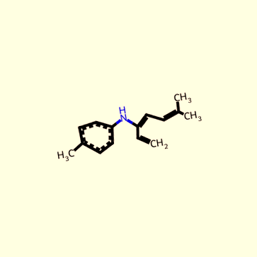 C=C/C(=C\C=C(C)C)Nc1ccc(C)cc1